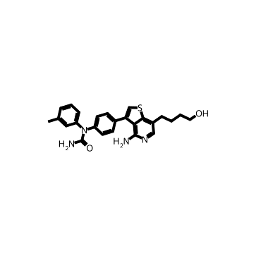 Cc1cccc(N(C(N)=O)c2ccc(-c3csc4c(CCCCO)cnc(N)c34)cc2)c1